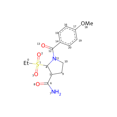 CCS(=O)(=O)C1C(C(N)=O)CCN1C(=O)c1ccc(OC)cc1